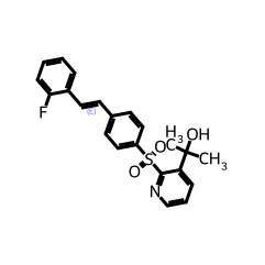 CC(C)(O)c1cccnc1S(=O)(=O)c1ccc(/C=C/c2ccccc2F)cc1